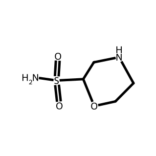 NS(=O)(=O)C1CNCCO1